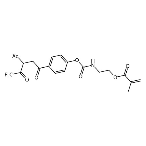 C=C(C)C(=O)OCCNC(=O)Oc1ccc(C(=O)CC(C(C)=O)C(=O)C(F)(F)F)cc1